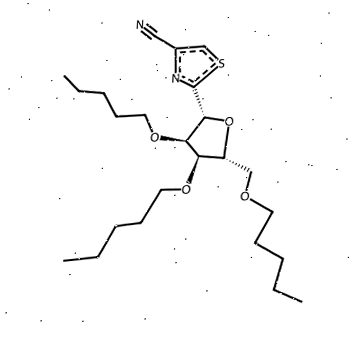 CCCCCOC[C@H]1O[C@@H](c2nc(C#N)cs2)[C@H](OCCCCC)[C@@H]1OCCCCC